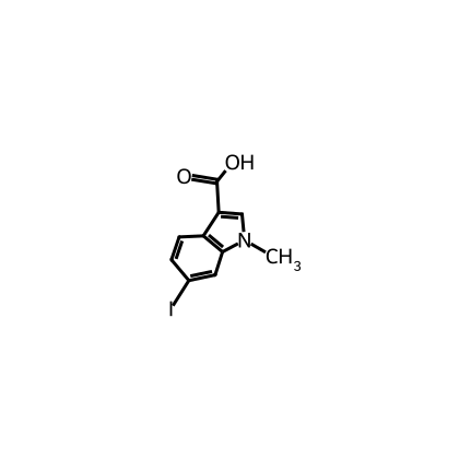 Cn1cc(C(=O)O)c2ccc(I)cc21